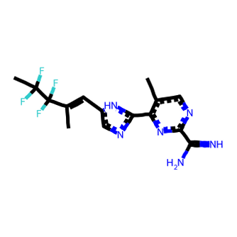 C/C(=C\c1cnc(-c2nc(C(=N)N)ncc2C)[nH]1)C(F)(F)C(C)(F)F